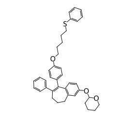 c1ccc(SCCCCCOc2ccc(C3=C(c4ccccc4)CCCc4cc(OC5CCCCO5)ccc43)cc2)cc1